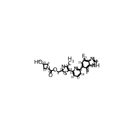 Cc1nc(COC(=O)N2CC(O)C2)sc1-c1cccc(-c2cc(F)c3nn[nH]c3c2F)n1